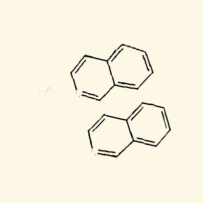 Cl.Cl.c1ccc2cnccc2c1.c1ccc2cnccc2c1